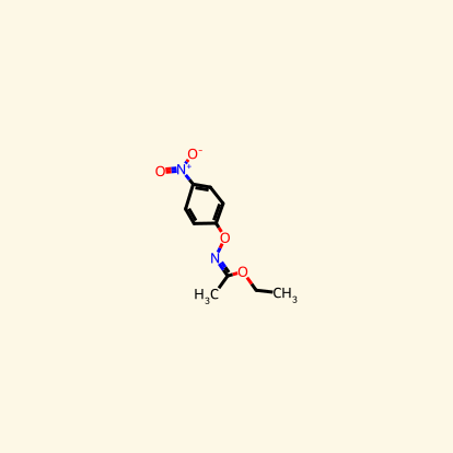 CCOC(C)=NOc1ccc([N+](=O)[O-])cc1